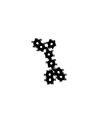 c1ccc(N(c2ccc(-c3ccc(-n4c5ccc6ccccc6c5c5c6ccccc6ccc54)cc3)cc2)c2ccc3ccccc3c2)cc1